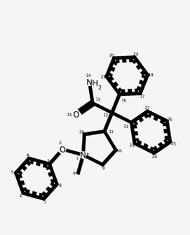 C[N+]1(Oc2ccccc2)CCC(C(C(N)=O)(c2ccccc2)c2ccccc2)C1